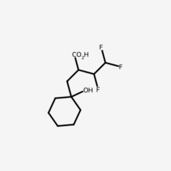 O=C(O)C(CC1(O)CCCCC1)C(F)C(F)F